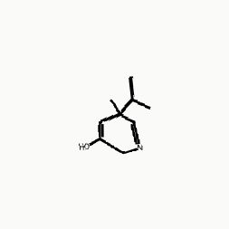 CC(C)C1(C)C=NCC(O)=C1